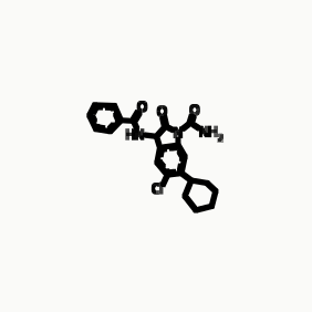 NC(=O)N1C(=O)C(NC(=O)c2ccccc2)c2cc(Cl)c(C3CCCCC3)cc21